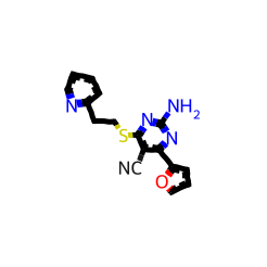 N#Cc1c(SCCc2ccccn2)nc(N)nc1-c1ccco1